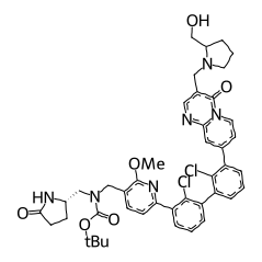 COc1nc(-c2cccc(-c3cccc(-c4ccn5c(=O)c(CN6CCCC6CO)cnc5c4)c3Cl)c2Cl)ccc1CN(C[C@@H]1CCC(=O)N1)C(=O)OC(C)(C)C